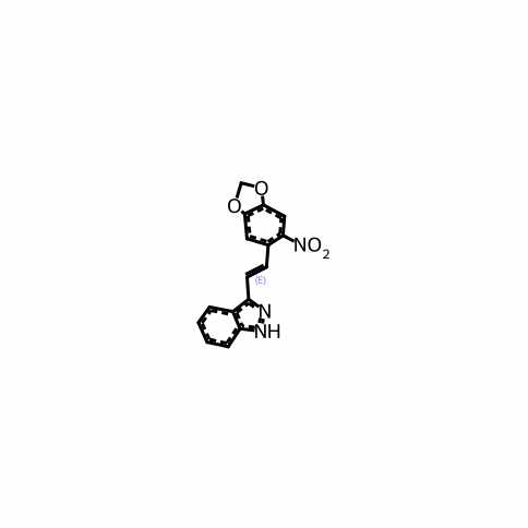 O=[N+]([O-])c1cc2c(cc1/C=C/c1n[nH]c3ccccc13)OCO2